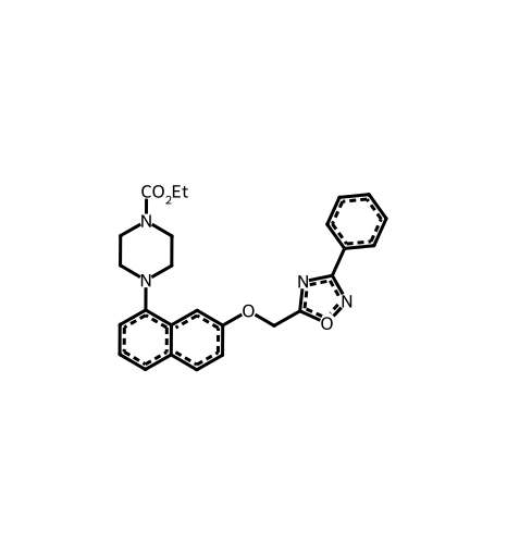 CCOC(=O)N1CCN(c2cccc3ccc(OCc4nc(-c5ccccc5)no4)cc23)CC1